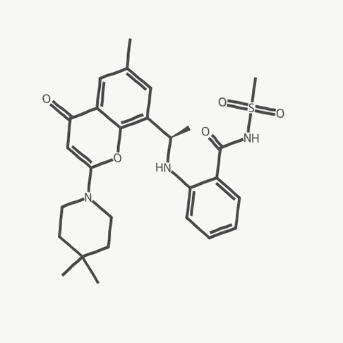 Cc1cc([C@@H](C)Nc2ccccc2C(=O)NS(C)(=O)=O)c2oc(N3CCC(C)(C)CC3)cc(=O)c2c1